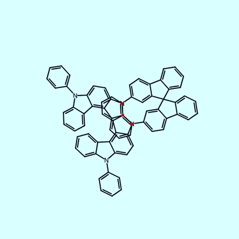 c1ccc(-n2c3ccccc3c3c4c5ccccc5n(-c5ccc6c(c5)C5(c7ccccc7-6)c6ccccc6-c6ccc(-n7c8ccccc8c8c9c%10ccccc%10n(-c%10ccccc%10)c9ccc87)cc65)c4ccc32)cc1